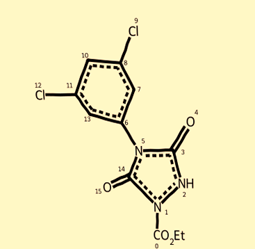 CCOC(=O)n1[nH]c(=O)n(-c2cc(Cl)cc(Cl)c2)c1=O